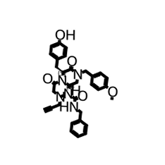 C#CCN1CC(=O)N2[C@@H](Cc3ccc(O)cc3)C(=O)N(Cc3ccc(OC)cc3)C[C@@H]2N1C(=O)NCc1ccccc1